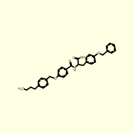 CCCCc1ccc(COc2ccc(C(=O)NC(Cc3ccc(OCc4ccccc4)cc3)C(=O)O)cc2)cc1